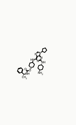 C[C@@H](NC(=O)ON1CCC(Nc2nc(N[C@H]3CC[C@H](N)CC3)nc3c2ncn3C2CCCC2)CC1)c1ccccc1